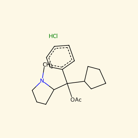 CC(=O)OC(c1ccccc1)(C1CCCC1)C1CCCN1C.Cl